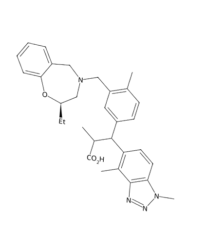 CC[C@@H]1CN(Cc2cc(C(c3ccc4c(nnn4C)c3C)C(C)C(=O)O)ccc2C)Cc2ccccc2O1